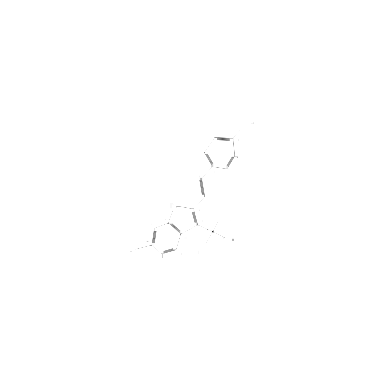 OC(c1c(C=Cc2ccc(Cl)cc2)[nH]c2cc(Br)ccc12)(C(F)(F)F)C(F)(F)F